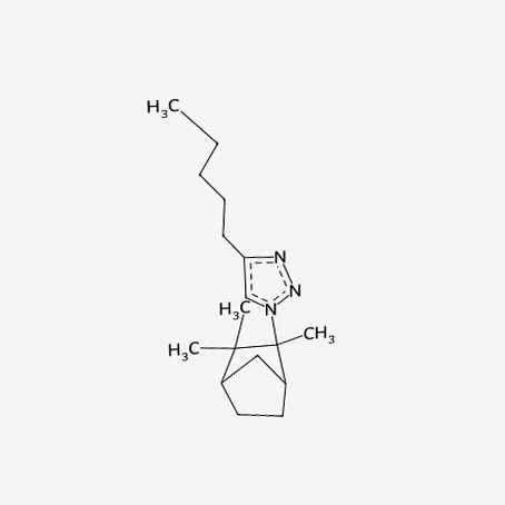 CCCCCc1cn(C2(C)C3CCC(C3)C2(C)C)nn1